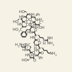 CC(C)[C@H](NC(=O)[C@H](CO)NC(=O)[C@H](CC(=O)O)NC(=O)CN)C(=O)N[C@@H](CCCCN)C(=O)NCC(=O)N[C@@H](CCCNC(=N)N)C(=O)N[C@@H](Cc1ccccc1)C(=O)N[C@H](C(=O)N[C@H](C(=O)N[C@@H](CO)C(=O)N[C@@H](CO)C(=O)N[C@@H](CC(=O)O)C(=O)O)C(C)C)[C@@H](C)O